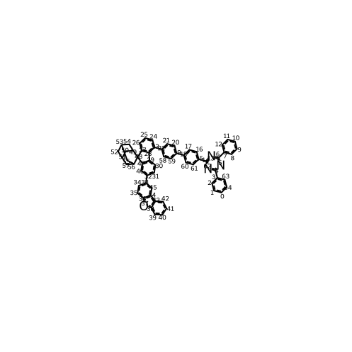 c1ccc(-c2nc(-c3ccccc3)nc(-c3ccc(-c4ccc(-c5cccc6c5-c5ccc(-c7ccc8oc9ccccc9c8c7)cc5C65C6CC7CC(C6)CC5C7)cc4)cc3)n2)cc1